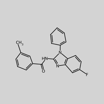 Cc1cccc(C(=O)Nc2nc3cc(F)ccc3n2-c2ccccc2)c1